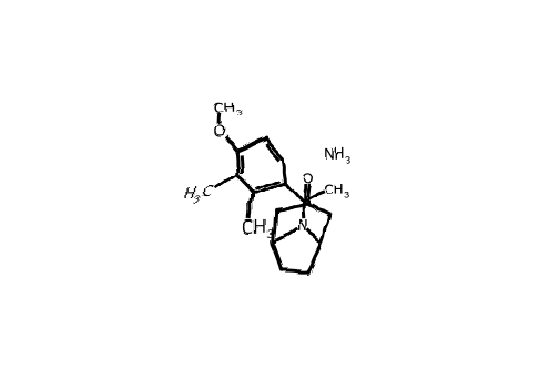 COc1ccc(C(C)N2C3CCC2CC(=O)C3)c(C)c1C.N